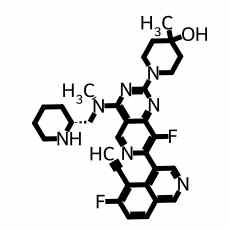 C#Cc1c(F)ccc2cncc(-c3ncc4c(N(C)C[C@H]5CCCCN5)nc(N5CCC(C)(O)CC5)nc4c3F)c12